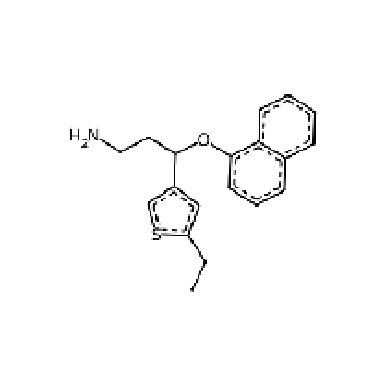 CCc1cc(C(CCN)Oc2cccc3ccccc23)cs1